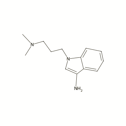 CN(C)CCCn1cc(N)c2ccccc21